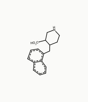 O=C(O)C1CNCCC1Cc1cccc2ccccc12